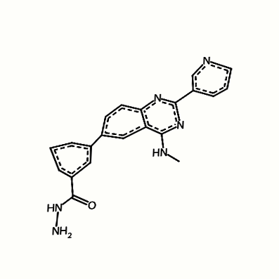 CNc1nc(-c2cccnc2)nc2ccc(-c3cccc(C(=O)NN)c3)cc12